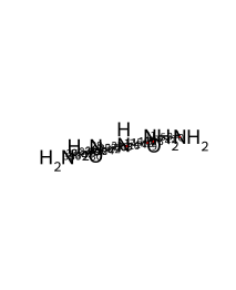 NCCCCCCCC(=O)C(N)CCCCCCCNCCCCCCCC(N)C(=O)CCCCCCCN